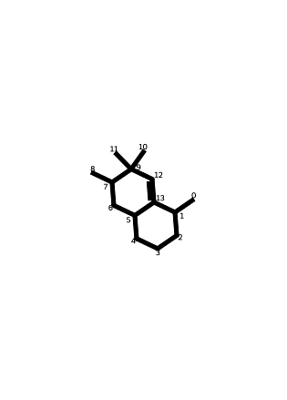 CC1CCCC2CC(C)C(C)(C)C=C12